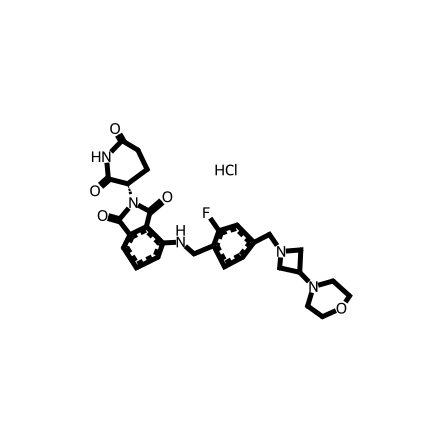 Cl.O=C1CC[C@H](N2C(=O)c3cccc(NCc4ccc(CN5CC(N6CCOCC6)C5)cc4F)c3C2=O)C(=O)N1